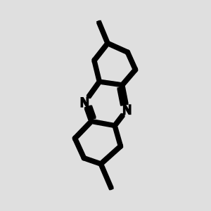 CC1CCC2=NC3CC(C)CCC3=NC2C1